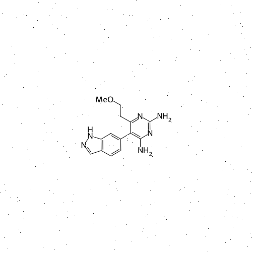 COCCc1nc(N)nc(N)c1-c1ccc2cn[nH]c2c1